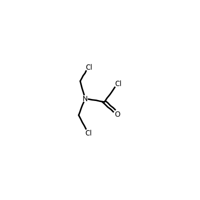 O=C(Cl)N(CCl)CCl